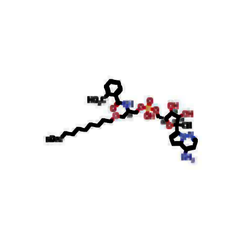 CCCCCCCCCCCCCCCCCCOC[C@H](COP(=O)(O)OC[C@H]1O[C@@](C#N)(c2ccc3c(N)ccnn23)[C@H](O)[C@@H]1O)NC(=O)c1ccccc1C(=O)O